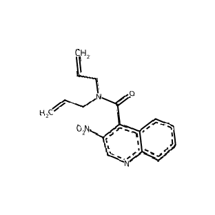 C=CCN(CC=C)C(=O)c1c([N+](=O)[O-])cnc2ccccc12